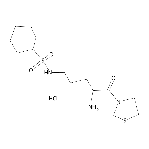 Cl.NC(CCCNS(=O)(=O)C1CCCCC1)C(=O)N1CCSC1